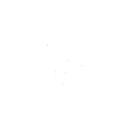 NCC(Cc1ccc2ccccc2c1)NCc1ccc(Cl)c(Cl)c1